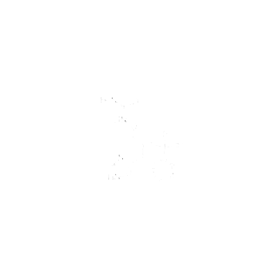 NC(=O)NOCCC(c1c[nH]cn1)c1ccccc1C(F)(F)F